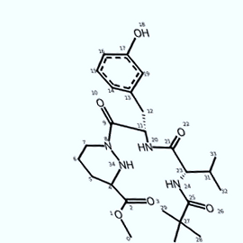 COC(=O)C1CCCN(C(=O)[C@H](Cc2cccc(O)c2)NC(=O)[C@@H](NC(=O)C(C)(C)C)C(C)C)N1